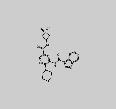 O=C(NC1CS(=O)(=O)C1)c1cnc(N2CCOCC2)c(NC(=O)c2csc3ccccc23)c1